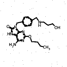 CCCCOc1nc(N)c2[nH]c(=O)n(Cc3ccc(CNCCCO)cc3)c2n1